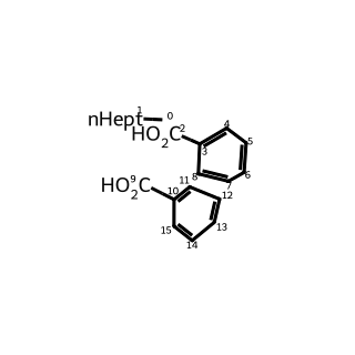 CCCCCCCC.O=C(O)c1ccccc1.O=C(O)c1ccccc1